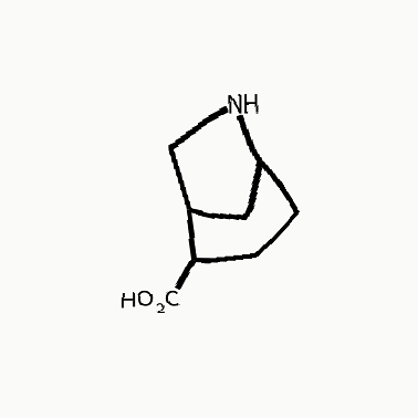 O=C(O)C1CCC2CC1CN2